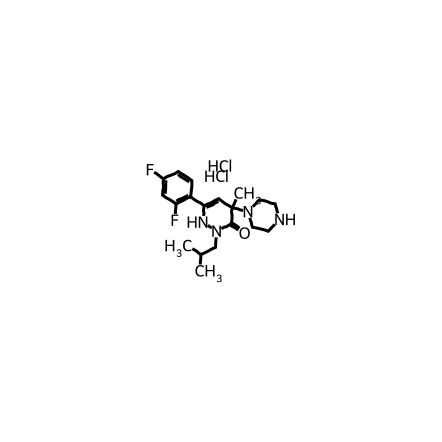 CC(C)CN1NC(c2ccc(F)cc2F)=CC(C)(N2CCNCC2)C1=O.Cl.Cl